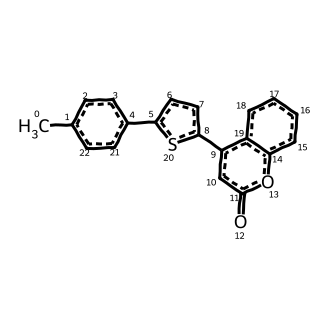 Cc1ccc(-c2ccc(-c3cc(=O)oc4ccccc34)s2)cc1